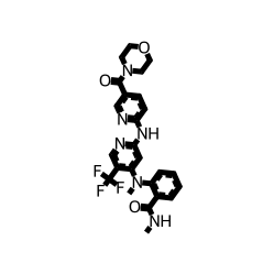 CNC(=O)c1ccccc1N(C)c1cc(Nc2ccc(C(=O)N3CCOCC3)cn2)ncc1C(F)(F)F